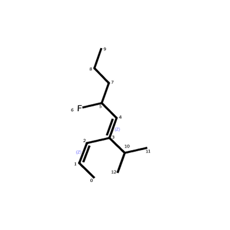 C/C=C\C(=C/C(F)CCC)C(C)C